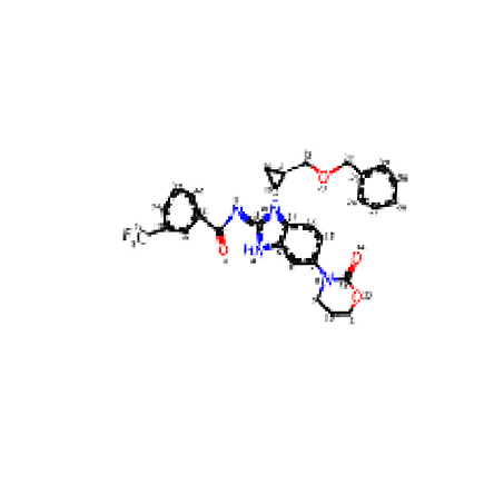 O=C(/N=c1\[nH]c2cc(N3CCCOC3=O)ccc2n1[C@@H]1C[C@H]1COCc1ccccc1)c1cccc(C(F)(F)F)c1